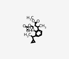 COC(=O)CC(C)c1cccc(C(C)C2CC2)c1OCO[PH](=O)O